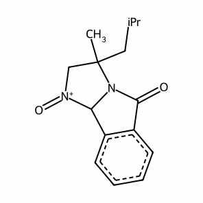 CC(C)CC1(C)C[N+](=O)C2c3ccccc3C(=O)N21